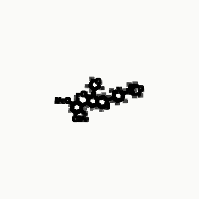 COc1cc(OC)c(F)c(-c2cc3cnc(-c4ccc(N5CC6CC5CO6)nc4)cc3n(C3CCOC3)c2=O)c1F